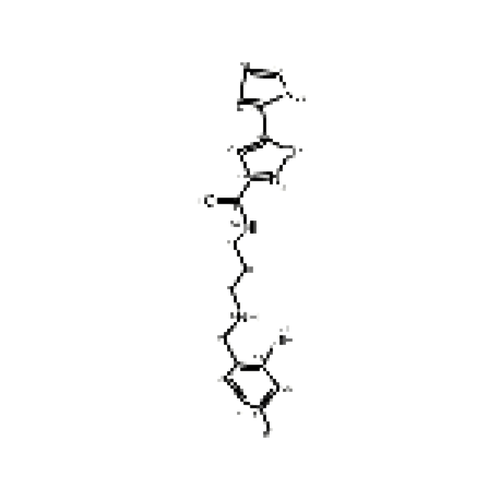 Cc1ccc(CNCCCNC(=O)c2cc(-c3cccs3)on2)c(O)c1